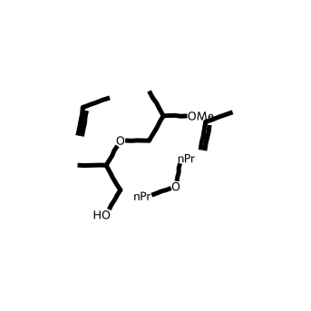 C=CC.C=CC.CCCOCCC.COC(C)COC(C)CO